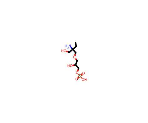 CCC(N)(CO)COCC(O)COS(=O)(=O)O